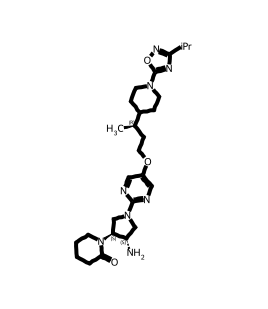 CC(C)c1noc(N2CCC([C@H](C)CCOc3cnc(N4C[C@H](N)[C@@H](N5CCCCC5=O)C4)nc3)CC2)n1